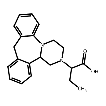 CCC(C(=O)O)N1CCN2c3ccccc3Cc3ccccc3C2C1